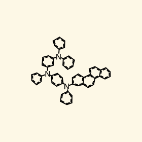 c1ccc(N(c2ccccc2)c2cccc(N(c3ccccc3)c3ccc(N(c4ccccc4)c4ccc5c(ccc6c7ccccc7ccc56)c4)cc3)c2)cc1